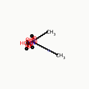 CCCCCCCC/C=C/CCCCCCCCCCCCCC(=O)N[C@@H](CO[C@H]1O[C@H](CO)[C@@H](O)[C@H](OC(=O)c2ccccc2)[C@H]1OC(=O)c1ccccc1)[C@@H](/C=C/CCCCCCCCCCCCC)OC(=O)c1ccccc1